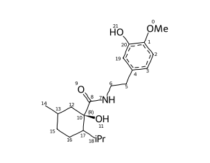 COc1ccc(CCNC(=O)[C@@]2(O)CC(C)CCC2C(C)C)cc1O